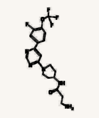 NCCC(=O)NC1CCN(c2cc(-c3ccc(OC(F)(F)F)c(F)c3)ncn2)CC1